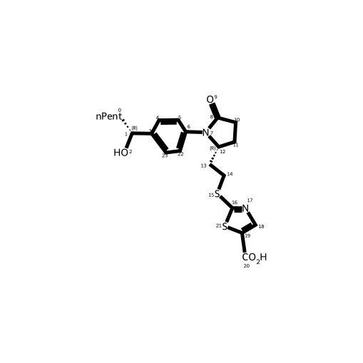 CCCCC[C@@H](O)c1ccc(N2C(=O)CC[C@@H]2CCSc2ncc(C(=O)O)s2)cc1